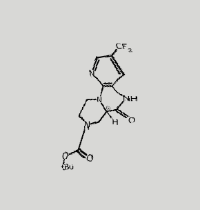 CC(C)(C)OC(=O)N1CCN2c3ncc(C(F)(F)F)cc3NC(=O)[C@@H]2C1